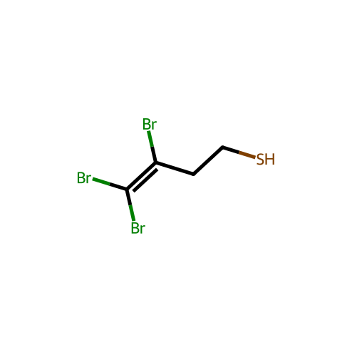 SCCC(Br)=C(Br)Br